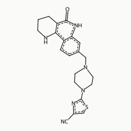 N#Cc1csc(N2CCN(Cc3ccc4c5c(c(=O)[nH]c4c3)CCCN5)CC2)n1